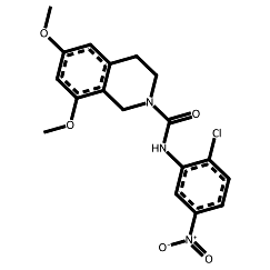 COc1cc2c(c(OC)c1)CN(C(=O)Nc1cc([N+](=O)[O-])ccc1Cl)CC2